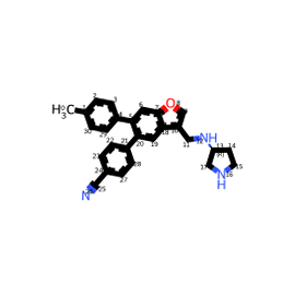 Cc1ccc(-c2cc3occ(CN[C@@H]4CCNC4)c3cc2-c2ccc(C#N)cc2)cc1